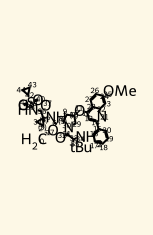 C=C[C@@H]1C[C@]1(NC(=O)[C@@H]1C[C@@H](Oc2cc(-c3ccccc3)nc3cc(OC)ccc23)CN1C(=O)C(N)C(C)(C)C)C(=O)NS(=O)(=O)C1CC1